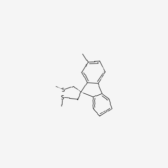 CSCC1(CSC)c2ccccc2-c2ccc(C)cc21